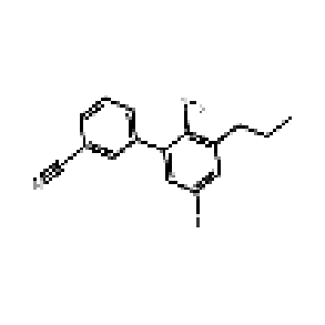 CCCc1cc(F)cc(-c2cccc(C#N)c2)c1N